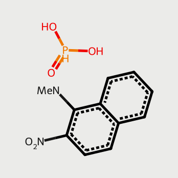 CNc1c([N+](=O)[O-])ccc2ccccc12.O=[PH](O)O